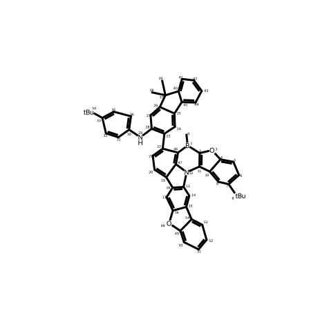 CB1c2oc3ccc(C(C)(C)C)cc3c2-n2c3cc4c(cc3c3ccc(-c5cc6c(cc5Nc5ccc(C(C)(C)C)cc5)C(C)(C)c5ccccc5-6)c1c32)oc1ccccc14